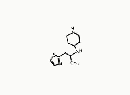 CC(Cc1nccs1)NC1CCNCC1